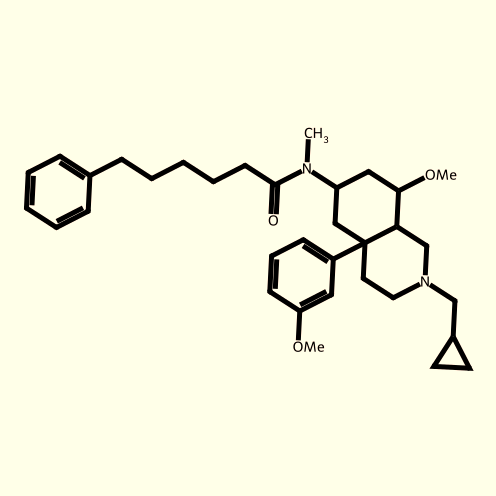 COc1cccc(C23CCN(CC4CC4)CC2C(OC)CC(N(C)C(=O)CCCCCc2ccccc2)C3)c1